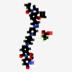 C[C@H]1CCc2c(ccc(-c3cnn(C4CCN(C5CC6(C5)CN(c5ccc7c(c5)C(=O)N(C5CCC(=O)NC5=O)C7=O)C6)CC4)c3)c2OC2CCC2)N1C(=O)C1CC1.O=C(O)C(F)(F)F